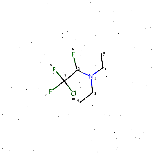 CCN(CC)C(F)C(F)(F)Cl